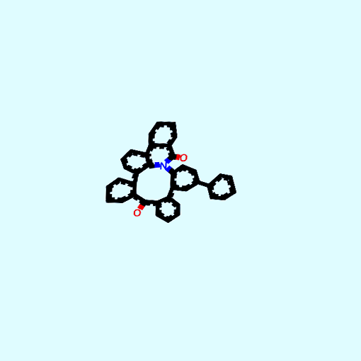 O=c1c2ccccc2c2cc(-c3ccccc3)ccc2n2c(=O)c3ccccc3c3cccc(c4ccccc14)c32